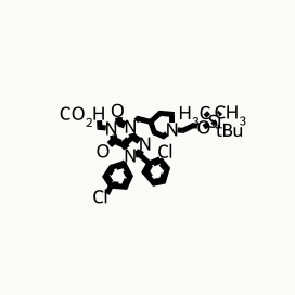 CC(C)(C)[Si](C)(C)OCCN1CCC(Cn2c(=O)n(CC(=O)O)c(=O)c3c2nc(-c2ccccc2Cl)n3-c2ccc(Cl)cc2)CC1